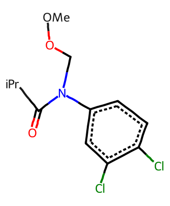 COOCN(C(=O)C(C)C)c1ccc(Cl)c(Cl)c1